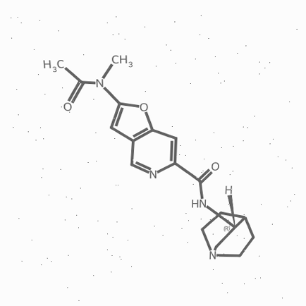 CC(=O)N(C)c1cc2cnc(C(=O)N[C@H]3CN4CCC3CC4)cc2o1